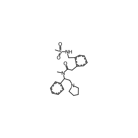 CN(C(=O)Cc1ccccc1CNS(C)(=O)=O)C(CN1CCCC1)c1ccccc1